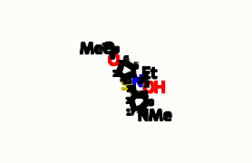 CCC(O)N1c2ccc(OCOC)cc2SC1c1ccc(NC)cc1